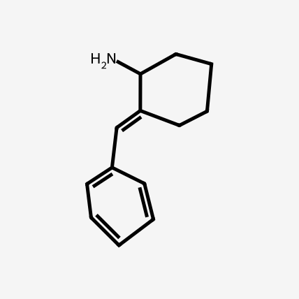 NC1CCCC/C1=C\c1ccccc1